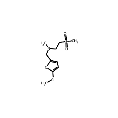 CSc1ccc(CN(C)CCS(C)(=O)=O)o1